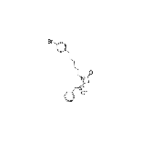 O=C1CC([S+]([O-])Cc2ccccc2)N1CCCCCCc1ccc(Br)cc1